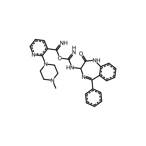 CN1CCN(c2ncccc2C(=N)OC(=N)NC2N=C(c3ccccc3)c3ccccc3NC2=O)CC1